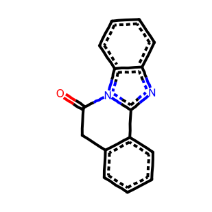 O=C1Cc2ccccc2-c2nc3ccccc3n21